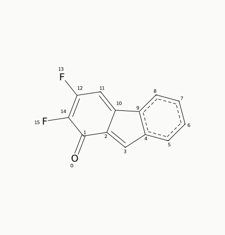 O=C1C2=Cc3ccccc3C2=CC(F)=C1F